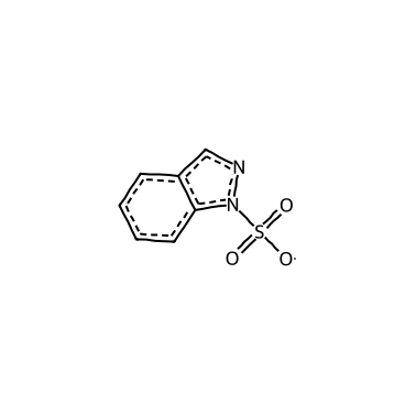 [O]S(=O)(=O)n1ncc2ccccc21